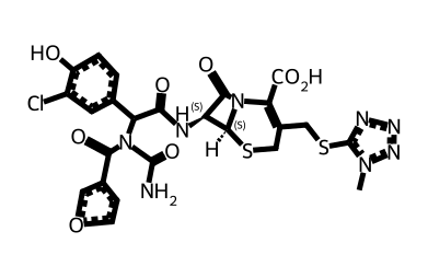 Cn1nnnc1SCC1=C(C(=O)O)N2C(=O)[C@H](NC(=O)C(c3ccc(O)c(Cl)c3)N(C(N)=O)C(=O)c3ccoc3)[C@@H]2SC1